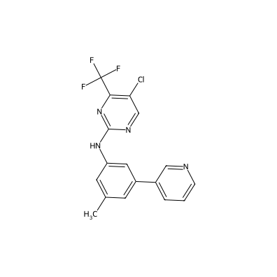 Cc1cc(Nc2ncc(Cl)c(C(F)(F)F)n2)cc(-c2cccnc2)c1